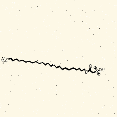 CCCCCCCCCCCCCCCCCCCCCCCCCCOC(=O)CS(=O)(=O)O